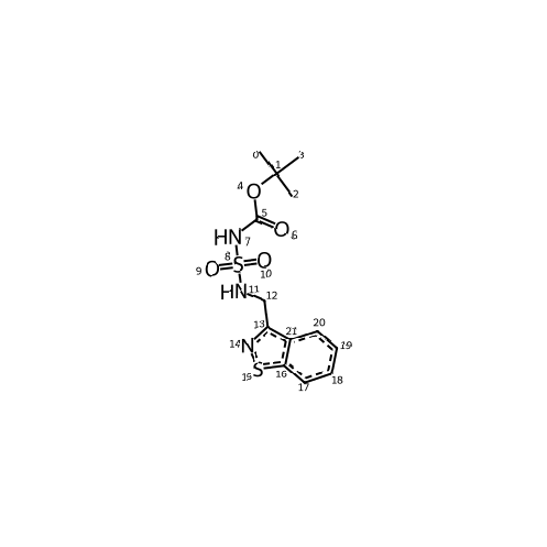 CC(C)(C)OC(=O)NS(=O)(=O)NCc1nsc2ccccc12